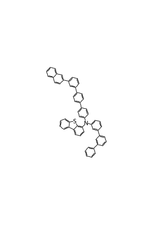 c1ccc(-c2cccc(-c3cccc(N(c4ccc(-c5ccc(-c6cccc(-c7ccc8ccccc8c7)c6)cc5)cc4)c4cccc5c4sc4ccccc45)c3)c2)cc1